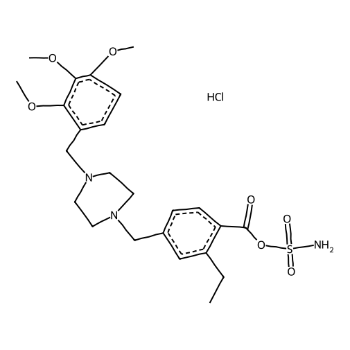 CCc1cc(CN2CCN(Cc3ccc(OC)c(OC)c3OC)CC2)ccc1C(=O)OS(N)(=O)=O.Cl